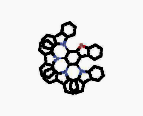 c1ccc2c(c1)oc1c(-n3c4ccccc4c4ccccc43)c(-n3c4ccccc4c4ccccc43)c(-n3c4ccccc4c4ccccc43)c(-n3c4ccccc4c4ccccc43)c12